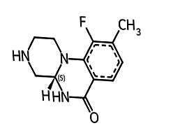 Cc1ccc2c(c1F)N1CCNC[C@H]1NC2=O